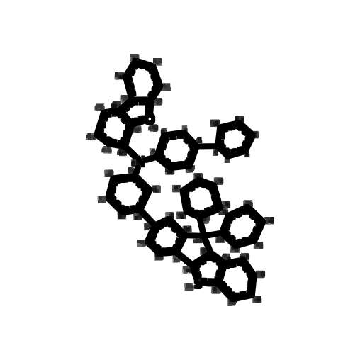 c1ccc(-c2ccc(N(c3cccc(-c4ccc5c(c4)C(c4ccccc4)(c4ccccc4)c4c-5sc5ccccc45)c3)c3cccc4c3oc3ccccc34)cc2)cc1